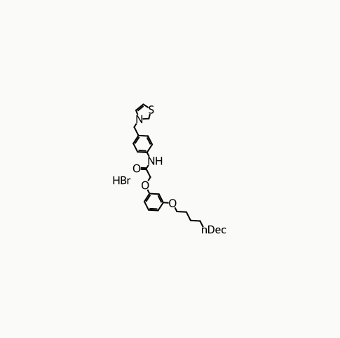 Br.CCCCCCCCCCCCCCOc1cccc(OCC(=O)Nc2ccc(CN3C=CSC3)cc2)c1